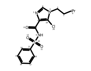 CC(C)CCn1cnc(C(=O)NS(=O)(=O)c2ccccc2)c1Cl